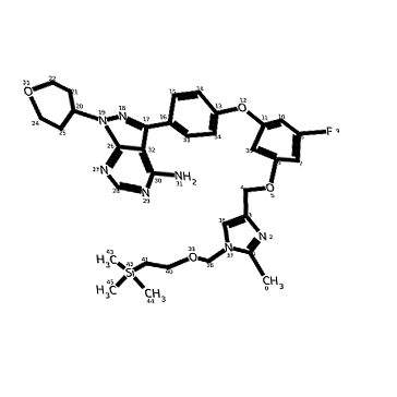 Cc1nc(COc2cc(F)cc(Oc3ccc(-c4nn(C5CCOCC5)c5ncnc(N)c45)cc3)c2)cn1COCC[Si](C)(C)C